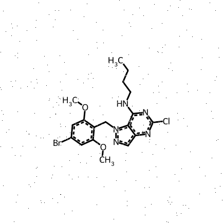 CCCCNc1nc(Cl)nc2cnn(Cc3c(OC)cc(Br)cc3OC)c12